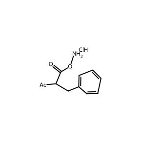 CC(=O)C(Cc1ccccc1)C(=O)ON.Cl